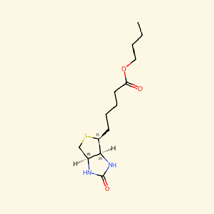 CCCCOC(=O)CCCC[C@@H]1SC[C@@H]2NC(=O)N[C@@H]21